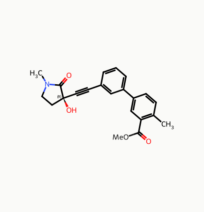 COC(=O)c1cc(-c2cccc(C#C[C@]3(O)CCN(C)C3=O)c2)ccc1C